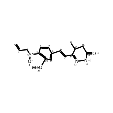 C=CC[S+]([O-])c1ccc(C=CC2=NNC(=O)CC2C)cc1OC